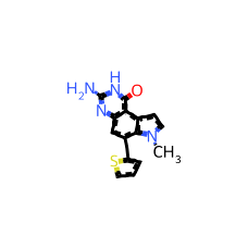 Cn1ccc2c3c(=O)[nH]c(N)nc3cc(-c3cccs3)c21